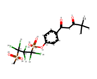 CCC(C)(C)C(=O)CC(=O)c1ccc(OS(=O)(=O)C(F)(F)C(F)(F)C(F)(F)S(C)(=O)=O)cc1